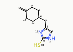 C=C1CCC(Cc2c[nH]c(S)n2)CC1